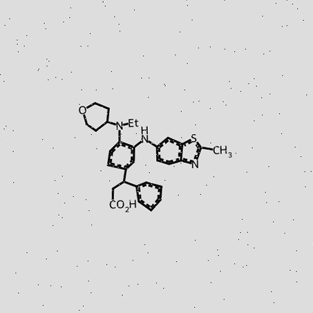 CCN(c1ccc(C(CC(=O)O)c2ccccc2)cc1Nc1ccc2nc(C)sc2c1)C1CCOCC1